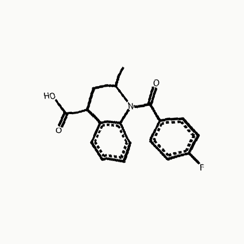 CC1CC(C(=O)O)c2ccccc2N1C(=O)c1ccc(F)cc1